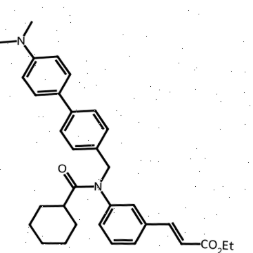 CCOC(=O)/C=C/c1cccc(N(Cc2ccc(-c3ccc(N(C)C)cc3)cc2)C(=O)C2CCCCC2)c1